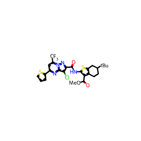 COC(=O)c1c(NC(=O)c2nn3c(C(F)(F)F)cc(-c4cccs4)nc3c2Cl)sc2c1CCC(C(C)(C)C)C2